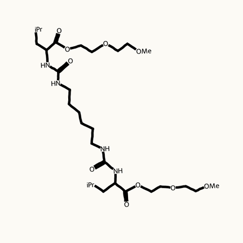 COCCOCCOC(=O)C(CC(C)C)NC(=O)NCCCCCCNC(=O)NC(CC(C)C)C(=O)OCCOCCOC